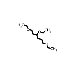 CCOC[CH]C(CCCOCC)OCC